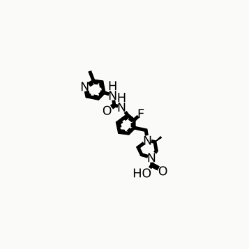 Cc1cc(NC(=O)Nc2cccc(CN3CCN(C(=O)O)C[C@@H]3C)c2F)ccn1